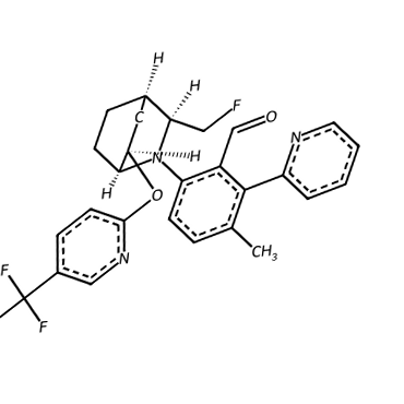 Cc1ccc(N2[C@H](CF)[C@@H]3CC[C@H]2[C@H](Oc2ccc(C(F)(F)F)cn2)C3)c(C=O)c1-c1ccccn1